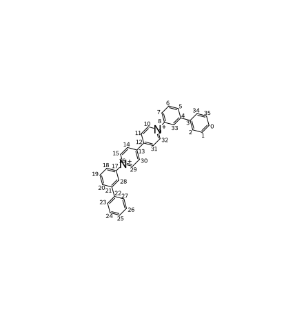 c1ccc(-c2cccc(-[n+]3ccc(-c4cc[n+](-c5cccc(-c6ccccc6)c5)cc4)cc3)c2)cc1